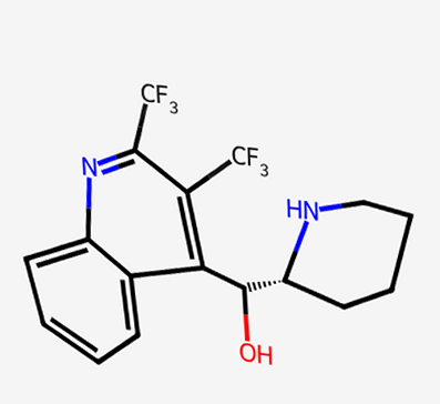 OC(c1c(C(F)(F)F)c(C(F)(F)F)nc2ccccc12)[C@H]1CCCCN1